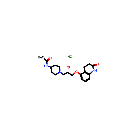 CC(C)COC(=O)NC1CCN(C[C@H](O)COc2cccc3c2CCC(=O)N3)CC1.Cl